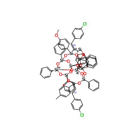 COc1ccc([Si]2(/C=C/c3ccc(Cl)cc3)O[Si](O[SiH3])(c3ccccc3)O[Si@]3(c4ccccc4)O[Si]4(c5ccccc5)O[SiH](c5ccccc5)O[Si]5(c6ccccc6)O[Si](c6ccccc6)(O2)O[Si@@](c2ccccc2)(O[Si](c2ccccc2)(O[Si](/C=C/c2ccc(Cl)cc2)(c2ccc(C)cc2)O4)O5)O3)cc1